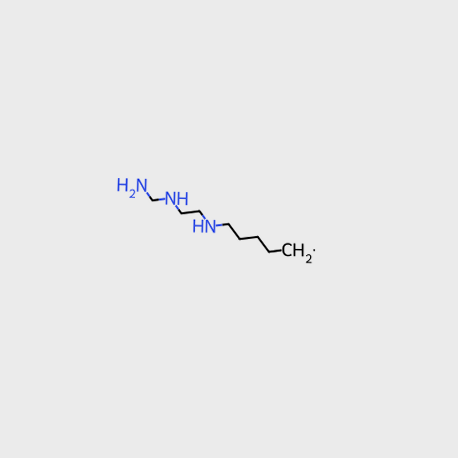 [CH2]CCCCNCCNCN